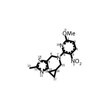 COc1ccc([N+](=O)[O-])c(N(Cc2cnc(C)s2)CC2CC2)n1